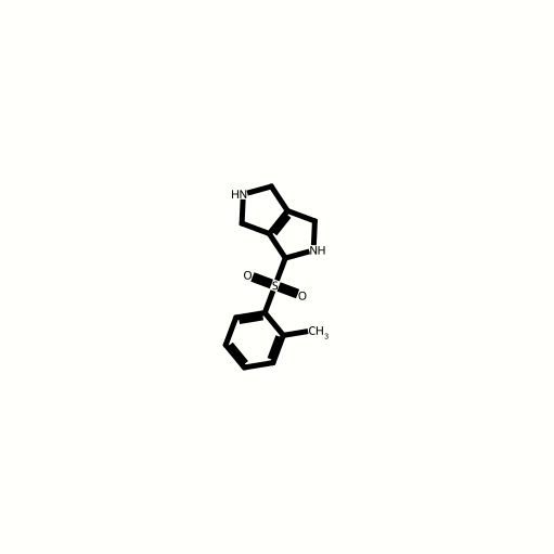 Cc1ccccc1S(=O)(=O)C1NCC2=C1CNC2